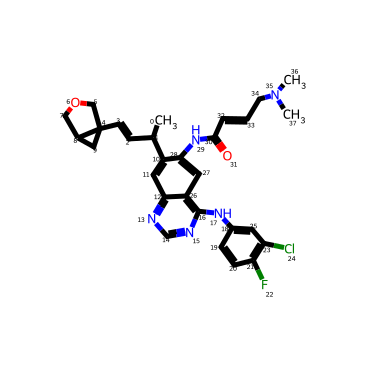 CC(/C=C/C12COCC1C2)c1cc2ncnc(Nc3ccc(F)c(Cl)c3)c2cc1NC(=O)/C=C/CN(C)C